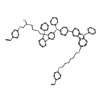 C=Cc1ccc(OCCCCCCOc2ccc3c(c2)c2cc(-c4ccc(N(c5ccccc5)c5ccc6c(c5)C(CCCCC(CC)COc5ccc(C=C)cc5)(c5ccccc5)c5ccccc5-6)cc4)ccc2n3-c2ccccc2)cc1